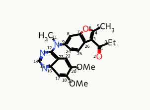 CCC(=O)c1c(C)oc2cc(N(C)c3ncnc4cc(OC)c(OC)cc34)ccc12